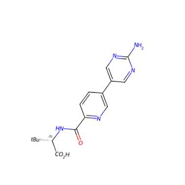 CC(C)(C)[C@H](NC(=O)c1ccc(-c2cnc(N)nc2)cn1)C(=O)O